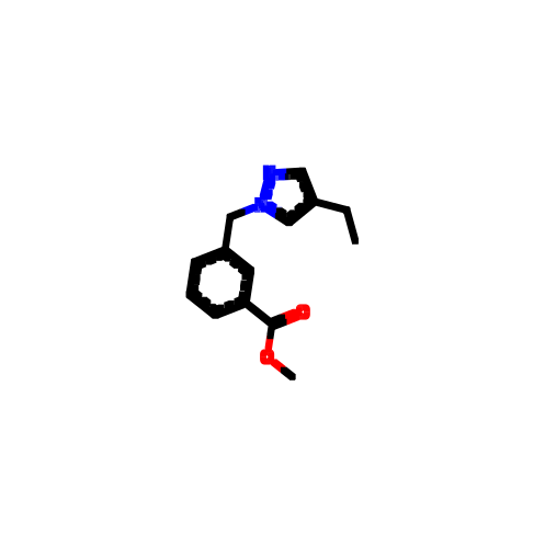 CCc1cnn(Cc2cccc(C(=O)OC)c2)c1